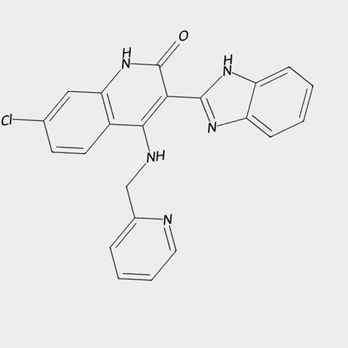 O=c1[nH]c2cc(Cl)ccc2c(NCc2ccccn2)c1-c1nc2ccccc2[nH]1